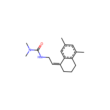 Cc1cc(C)c2c(c1)/C(=C\CNC(=O)N(C)C)CCC2